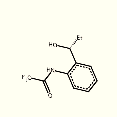 CC[C@@H](O)c1ccccc1NC(=O)C(F)(F)F